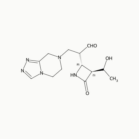 CC(O)[C@H]1C(=O)N[C@@H]1C(C=O)CN1CCn2cnnc2C1